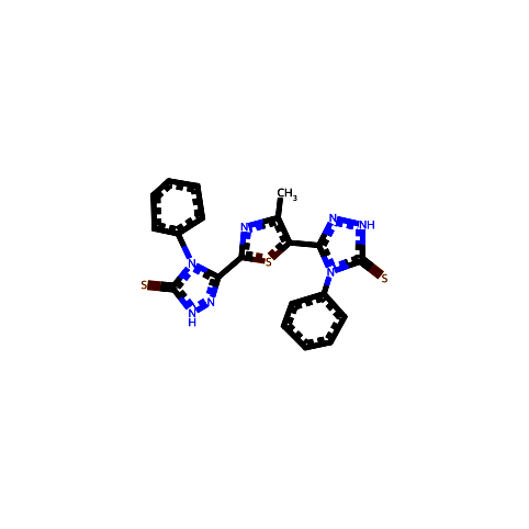 Cc1nc(-c2n[nH]c(=S)n2-c2ccccc2)sc1-c1n[nH]c(=S)n1-c1ccccc1